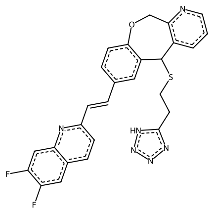 Fc1cc2ccc(/C=C/c3ccc4c(c3)C(SCCc3nnn[nH]3)c3cccnc3CO4)nc2cc1F